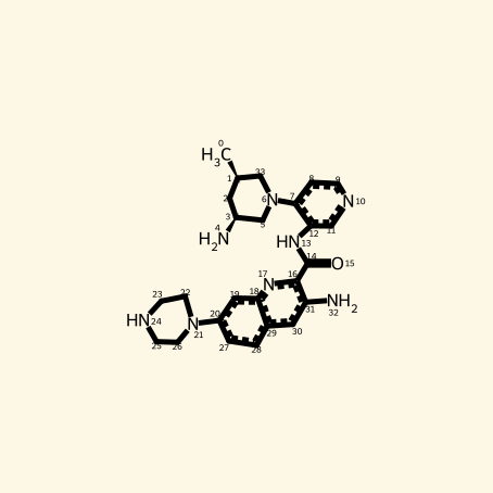 C[C@@H]1C[C@H](N)CN(c2ccncc2NC(=O)c2nc3cc(N4CCNCC4)ccc3cc2N)C1